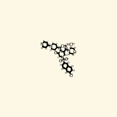 CN(C1CCN(c2ccncc2)CC1)N1C(=O)CN(S(=O)(=O)c2ccc3cc(Cl)ccc3c2)CC1C(=O)N1CCOCC1.Cl